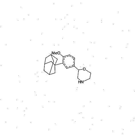 COc1ccc(C2CNCCO2)cc1C12CC3CC(CC(C3)C1)C2